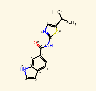 CC(C)c1cnc(NC(=O)c2ccc3cc[nH]c3c2)s1